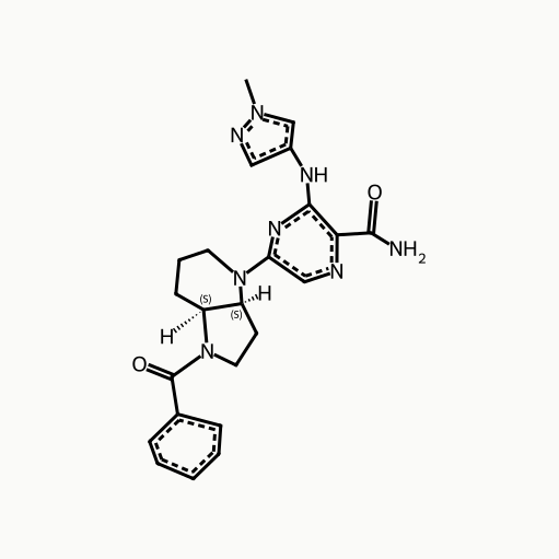 Cn1cc(Nc2nc(N3CCC[C@H]4[C@@H]3CCN4C(=O)c3ccccc3)cnc2C(N)=O)cn1